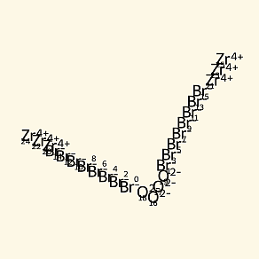 [Br-].[Br-].[Br-].[Br-].[Br-].[Br-].[Br-].[Br-].[Br-].[Br-].[Br-].[Br-].[Br-].[Br-].[Br-].[Br-].[O-2].[O-2].[O-2].[O-2].[Zr+4].[Zr+4].[Zr+4].[Zr+4].[Zr+4].[Zr+4]